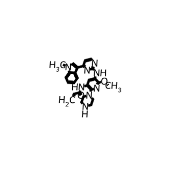 C=CC(=O)Nc1cc(Nc2nccc(-c3cn(C)c4ccccc34)n2)c(OC)nc1N1CCNCC1